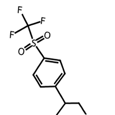 CCC(C)c1ccc(S(=O)(=O)C(F)(F)F)cc1